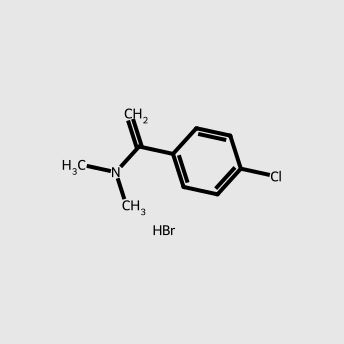 Br.C=C(c1ccc(Cl)cc1)N(C)C